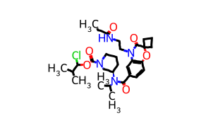 CCC(=O)NCCN1C(=O)C2(CCC2)Oc2ccc(C(=O)N(C(C)C)[C@@H]3CCCN(C(=O)OC(Cl)C(C)C)C3)cc21